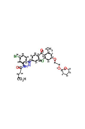 Cc1cc(OCCOC2CCCCO2)ccc1C(=O)c1ccc(Nc2ccc(Br)cc2NC(=O)CCC(=O)O)cc1Cl